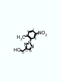 Cc1ccc([N+](=O)[O-])cc1-n1ncc(CO)n1